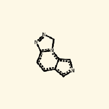 c1cc2n(c3cncc1-3)CN=N2